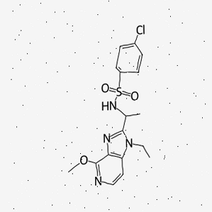 CCn1c(C(C)NS(=O)(=O)c2ccc(Cl)cc2)nc2c(OC)nccc21